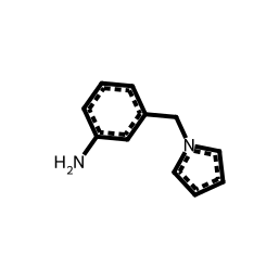 Nc1cccc(Cn2cccc2)c1